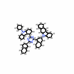 c1ccc(-n2c3ccccc3c3c(-c4nc(-c5ccc6ccccc6c5)nc(-c5cc(-n6c7ccccc7c7cc8ccccc8cc76)cc6ccccc56)n4)cccc32)cc1